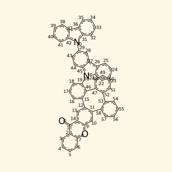 O=c1c2ccccc2oc2cc3c(cc12)-c1cccc(-n2c4ccccc4c4cc(-n5c6ccccc6c6ccccc65)ccc42)c1-c1ccccc1-c1ccccc1-3